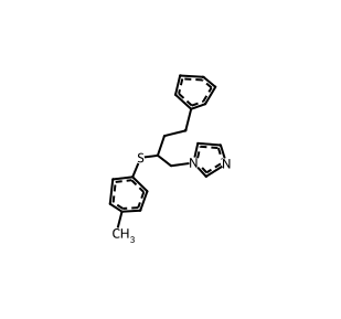 Cc1ccc(SC(CCc2ccccc2)Cn2ccnc2)cc1